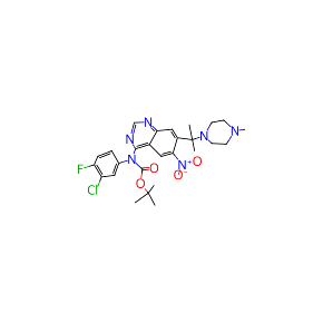 CN1CCN(C(C)(C)c2cc3ncnc(N(C(=O)OC(C)(C)C)c4ccc(F)c(Cl)c4)c3cc2[N+](=O)[O-])CC1